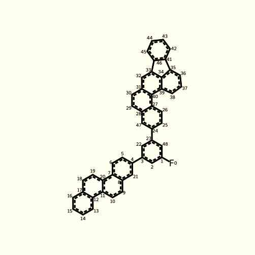 Fc1cc(-c2ccc3c(ccc4c5ccccc5ccc34)c2)cc(-c2ccc3c(ccc4cc5c6c(cccc6c43)-c3ccccc3-5)c2)c1